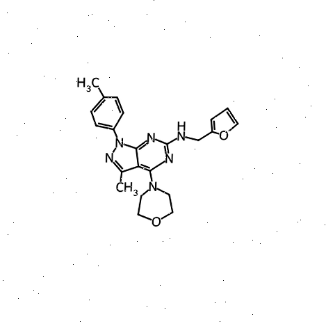 Cc1ccc(-n2nc(C)c3c(N4CCOCC4)nc(NCc4ccco4)nc32)cc1